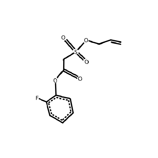 C=CCOS(=O)(=O)CC(=O)Oc1ccccc1F